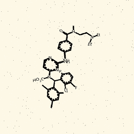 CCN(CC)CCN(C)C(=O)c1ccc(Nc2nccc(N(C(=O)O)C(c3c(C)cc(C)cc3C)c3c(F)ccc(F)c3Cl)n2)cc1